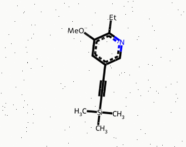 CCc1ncc(C#C[Si](C)(C)C)cc1OC